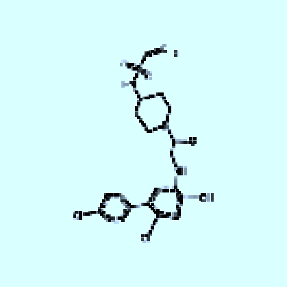 C=CS(=O)(=O)NC1CCN(C(=O)CNc2cc(-c3ccc(Cl)cc3)c(Cl)cc2O)CC1